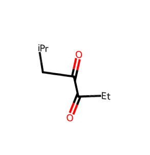 CCC(=O)C(=O)CC(C)C